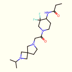 CCC(=O)NC1CCN(C(=O)CN2CCC3(C2)CN(C(C)C)C3)CC1(F)F